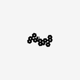 C[Si]1(C)c2cc(-c3c(-c4ccccc4)ccc4ccccc34)ccc2-c2c1cc1c3c(cccc23)[Si](C)(C)c2cc(-c3c(-c4ccccc4)ccc4ccccc34)ccc2-1